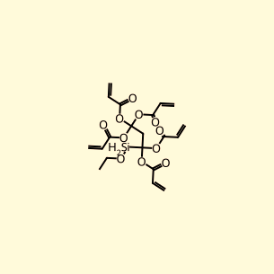 C=CC(=O)OC(CC(OC(=O)C=C)(OC(=O)C=C)[SiH2]OCC)(OC(=O)C=C)OC(=O)C=C